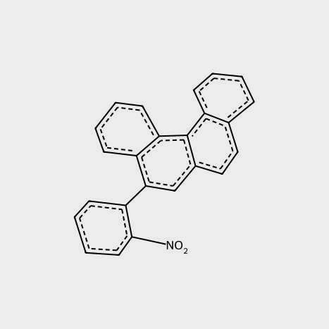 O=[N+]([O-])c1ccccc1-c1cc2ccc3ccccc3c2c2ccccc12